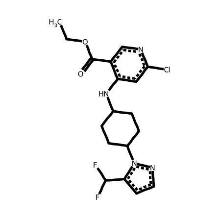 CCOC(=O)c1cnc(Cl)cc1NC1CCC(n2nccc2C(F)F)CC1